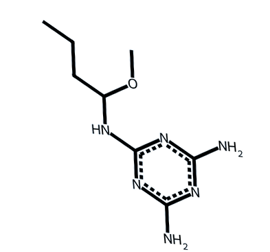 CCCC(Nc1nc(N)nc(N)n1)OC